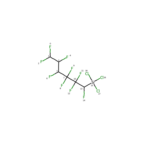 FC(F)C(F)C(F)C(F)(F)C(F)(F)C(F)[Si](Cl)(Cl)Cl